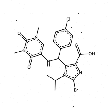 CC(C)n1c(Br)nc(C(=O)O)c1C(Nc1cn(C)c(=O)n(C)c1=O)c1ccc(Cl)cc1